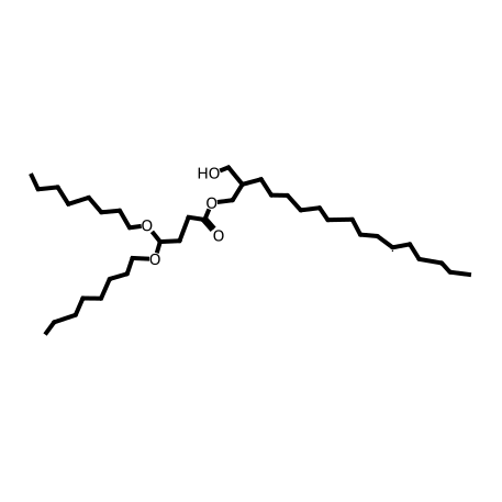 CCCCC[CH]CCCCCCCCCC(CO)COC(=O)CCC(OCCCCCCCC)OCCCCCCCC